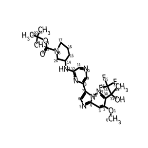 COc1cc2ncc(-c3cncc(NC4CCCN(C(=O)OC(C)(C)C)C4)n3)n2nc1C(C)(O)C(F)(F)F